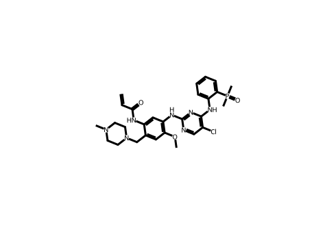 C=CC(=O)Nc1cc(Nc2ncc(Cl)c(Nc3ccccc3P(C)(C)=O)n2)c(OC)cc1CN1CCN(C)CC1